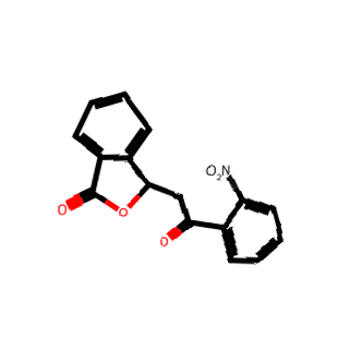 O=C1OC(CC(=O)c2ccccc2[N+](=O)[O-])c2ccccc21